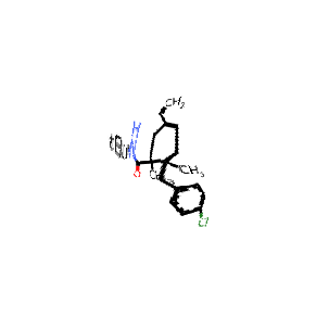 C=CC1CCC(C)(Cc2ccc(Cl)cc2)C(C)(C(=O)NC(C)(C)C)C1